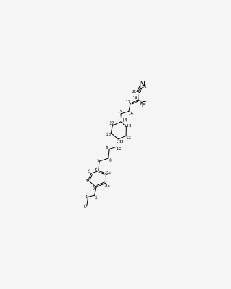 CCCc1ccc(CCCC[C@H]2CC[C@H](CC/C=C(\F)C#N)CC2)cc1